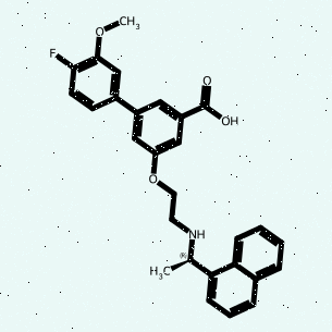 COc1cc(-c2cc(OCCN[C@H](C)c3cccc4ccccc34)cc(C(=O)O)c2)ccc1F